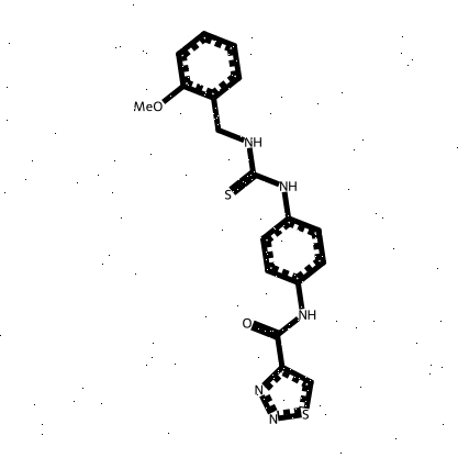 COc1ccccc1CNC(=S)Nc1ccc(NC(=O)c2csnn2)cc1